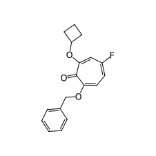 O=c1c(OCc2ccccc2)ccc(F)cc1OC1CCC1